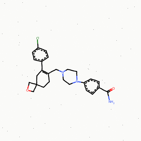 NC(=O)c1ccc(N2CCN(CC3=C(c4ccc(Cl)cc4)CC4(CC3)COC4)CC2)cc1